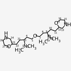 CN(C)C(CCOCCC(CCC1CNCCO1)N(C)C)CCC1CNCCO1